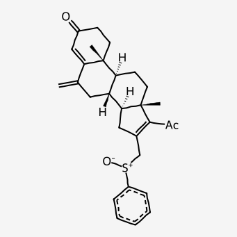 C=C1C[C@@H]2[C@H](CC[C@]3(C)C(C(C)=O)=C(C[S+]([O-])c4ccccc4)C[C@@H]23)[C@@]2(C)CCC(=O)C=C12